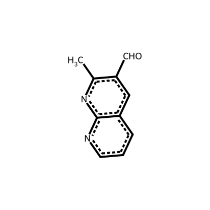 Cc1nc2ncccc2cc1C=O